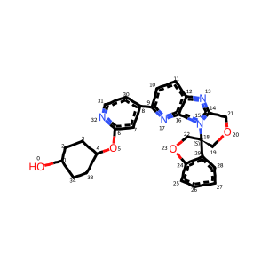 OC1CCC(Oc2cc(-c3ccc4nc5n(c4n3)[C@@]3(COC5)COc4ccccc43)ccn2)CC1